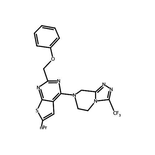 CCCc1cc2c(N3CCn4c(nnc4C(F)(F)F)C3)nc(COc3ccccc3)nc2s1